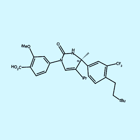 COc1cc(N2C=C(C(C)C)[C@](C)(c3ccc(CCC(C)(C)C)c(C(F)(F)F)c3)NC2=O)ccc1C(=O)O